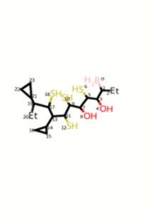 BC(CC)C(O)C(S)C(O)C(S)C(S)C(C1CC1)C(S)C(CC)C1CC1